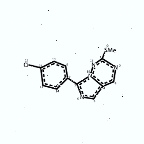 CSc1ncc2cnc(-c3ccc(Cl)cc3)n2n1